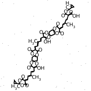 CC(/C=C/C1=C(O)OC2(CCC3(CC2)OC(=O)C(=C/C=C(C)/C=C/C2=C(O)OC4(CCC5(CC4)OC(=O)C(=C/C=C(C)/C=C/C4=C(O)OC(C)(C6CC6)OC4=O)C(=O)O5)OC2=O)C(=O)O3)OC1=O)=C\C=C1C(=O)OC(C)(C2CC2)OC1=O